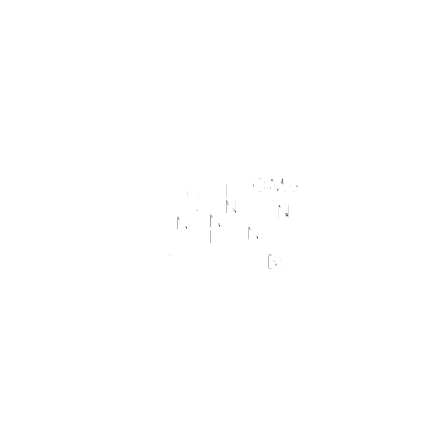 COc1ncc(Br)nc1NNC(=O)N1CCCC(C)(C)C1